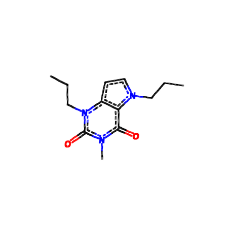 CCCn1ccc2c1c(=O)n(C)c(=O)n2CCC